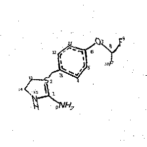 NC1=S(c2ccc(OC(F)F)cc2)CCN1